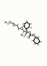 CCOCCOCC(C)(OC(=O)Oc1ccccc1)c1ccccc1